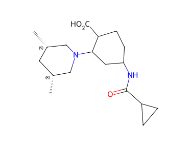 C[C@@H]1C[C@H](C)CN(C2CC(NC(=O)C3CC3)CCC2C(=O)O)C1